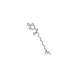 C=CCCCCCCCCC(=O)OC1COC(=O)OC1